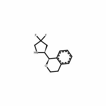 FC1(F)CN[C@H]([C@@H]2OCCc3ccccc32)C1